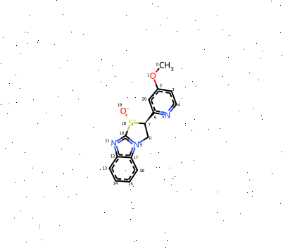 COc1ccnc([C@H]2Cn3c(nc4ccccc43)[S@+]2[O-])c1